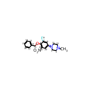 CN1CCN(c2cc(F)c(OCc3ccccc3)c([N+](=O)[O-])c2)CC1